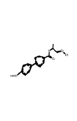 CCCCCCCc1ccc(-c2ccc(C(=O)OC(C)COCC)cc2)cc1